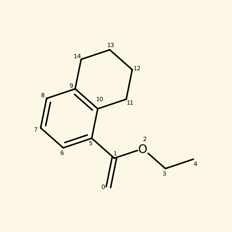 C=C(OCC)c1cccc2c1CCCC2